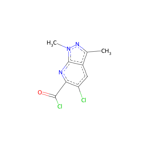 Cc1nn(C)c2nc(C(=O)Cl)c(Cl)cc12